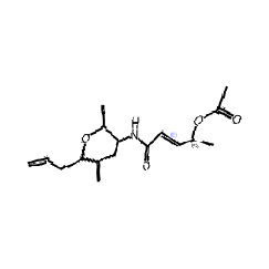 C=CCC1OC(C)C(NC(=O)/C=C/[C@H](C)OC(C)=O)CC1C